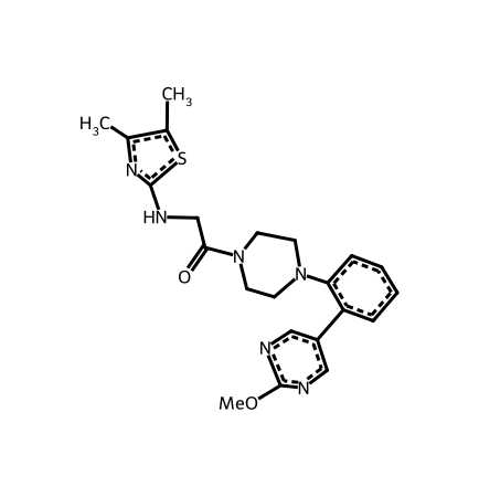 COc1ncc(-c2ccccc2N2CCN(C(=O)CNc3nc(C)c(C)s3)CC2)cn1